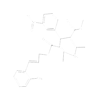 COC(=O)C1=C(C)NC(C)=C(C(=O)OC/C=C/c2ccccc2O)C1c1cccc([N+](=O)[O-])c1